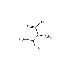 CC([AsH2])C([AsH2])C(=O)O